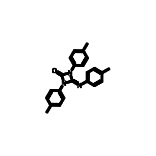 Cc1ccc(N=C2N(c3ccc(C)cc3)C(=O)N2c2ccc(C)cc2)cc1